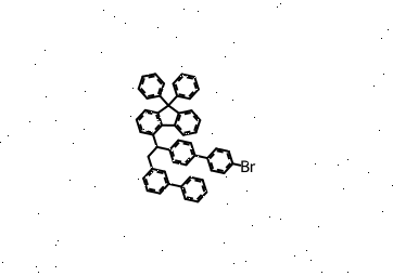 Brc1ccc(-c2ccc(C(Cc3cccc(-c4ccccc4)c3)c3cccc4c3-c3ccccc3C4(c3ccccc3)c3ccccc3)cc2)cc1